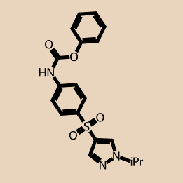 CC(C)n1cc(S(=O)(=O)c2ccc(NC(=O)Oc3ccccc3)cc2)cn1